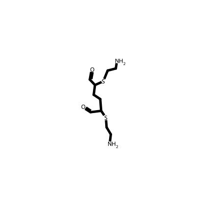 NCCSC(C=O)CCC(C=O)SCCN